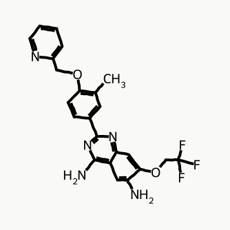 Cc1cc(-c2nc(N)c3cc(N)c(OCC(F)(F)F)cc3n2)ccc1OCc1ccccn1